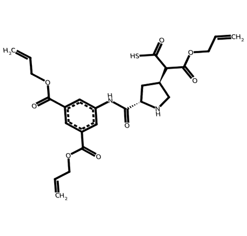 C=CCOC(=O)c1cc(NC(=O)[C@@H]2C[C@@H](C(C(=O)S)C(=O)OCC=C)CN2)cc(C(=O)OCC=C)c1